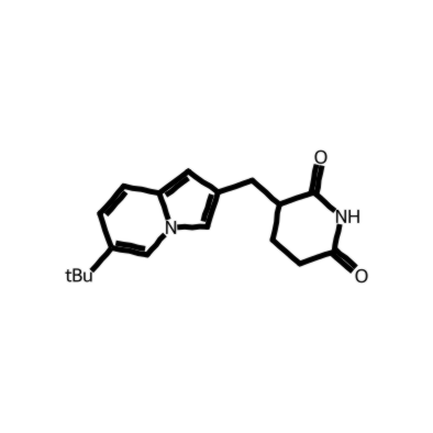 CC(C)(C)c1ccc2cc(CC3CCC(=O)NC3=O)cn2c1